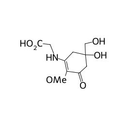 COC1=C(NCC(=O)O)CC(O)(CO)CC1=O